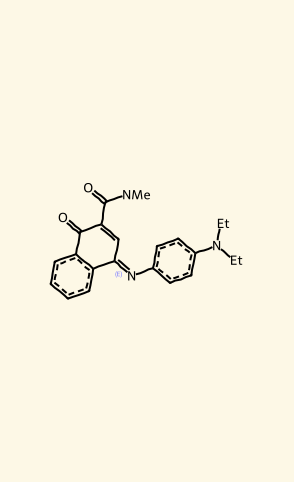 CCN(CC)c1ccc(/N=C2\C=C(C(=O)NC)C(=O)c3ccccc32)cc1